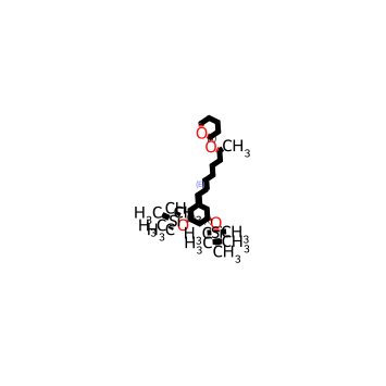 CC(CCC/C=C/C=C1C[C@@H](O[Si](C)(C)C(C)(C)C)C[C@H](O[Si](C)(C)C(C)(C)C)C1)O[C@@H]1CCCCO1